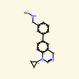 CC(C)(C)NCc1cccc(-c2ccc3c(c2)CN=CN3C2CC2)c1